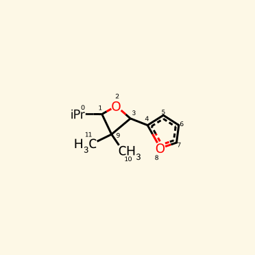 CC(C)C1OC(c2ccco2)C1(C)C